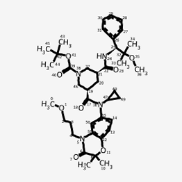 COCCCN1C(=O)C(C)(C)Oc2ccc(N(C(=O)[C@@H]3C[C@H](C(=O)N[C@@H](c4ccccc4)C(C)(C)OC)CN(C(=O)OC(C)(C)C)C3)C3CC3)cc21